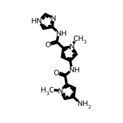 Cn1cc(N)cc1C(=O)Nc1cc(C(=O)Nc2c[nH]cn2)n(C)c1